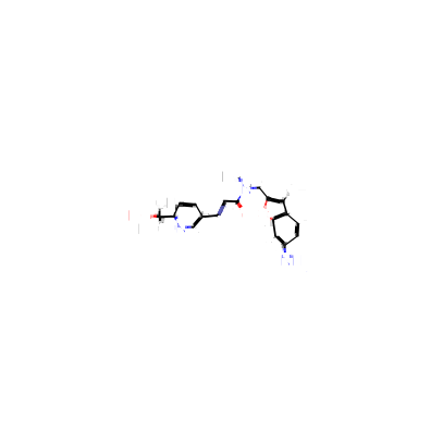 Cc1c(CN(C)C(=O)/C=C/c2ccc(C(C)(C)O)nc2)oc2cc(N)ccc12